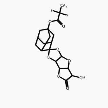 CC(F)(F)C(=O)OC12CC3CC(C1)C1(OC4OC5C(O)C(=O)OC5C4O1)C(C3)C2